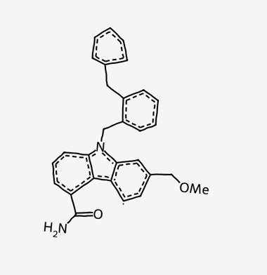 COCc1c[c]c2c3c(C(N)=O)cccc3n(Cc3ccccc3Cc3ccccc3)c2c1